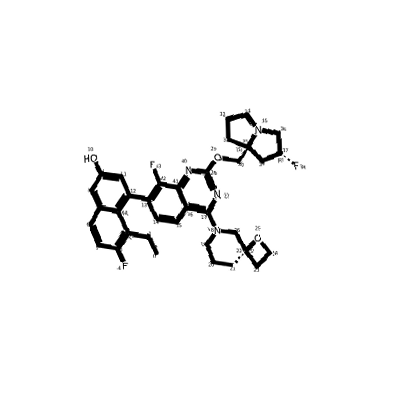 CCc1c(F)ccc2cc(O)cc(-c3ccc4c(N5CCC[C@]6(CCO6)C5)nc(OC[C@@]56CCCN5C[C@H](F)C6)nc4c3F)c12